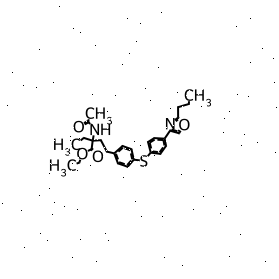 CCCc1nc(-c2ccc(Sc3ccc(CCC(CC)(NC(C)=O)C(=O)OCC)cc3)cc2)co1